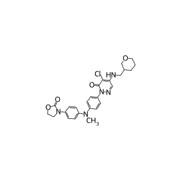 CN(c1ccc(N2CCOC2=O)cc1)c1ccc(-n2ncc(NCC3CCCOC3)c(Cl)c2=O)cc1